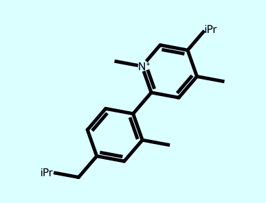 Cc1cc(CC(C)C)ccc1-c1cc(C)c(C(C)C)c[n+]1C